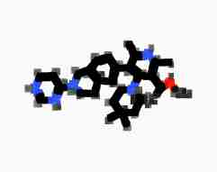 Cc1nc(C)c(C(OC(C)(C)C)C(=O)O)c(N2CCC(C)(C)CC2)c1-c1ccc2c(c1)CCN(c1ccncn1)C2